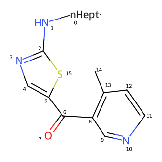 CCCCCC[CH]Nc1ncc(C(=O)c2cnccc2C)s1